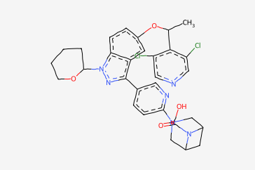 CC(Oc1ccc2c(c1)c(-c1ccc(N3CC4CC(C3)N4C(=O)O)nc1)nn2C1CCCCO1)c1c(Cl)cncc1Cl